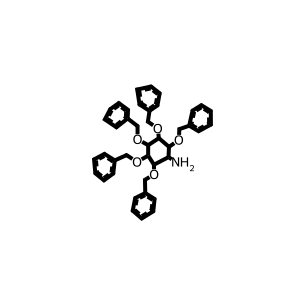 NC1C(OCc2ccccc2)C(OCc2ccccc2)C(OCc2ccccc2)C(OCc2ccccc2)C1OCc1ccccc1